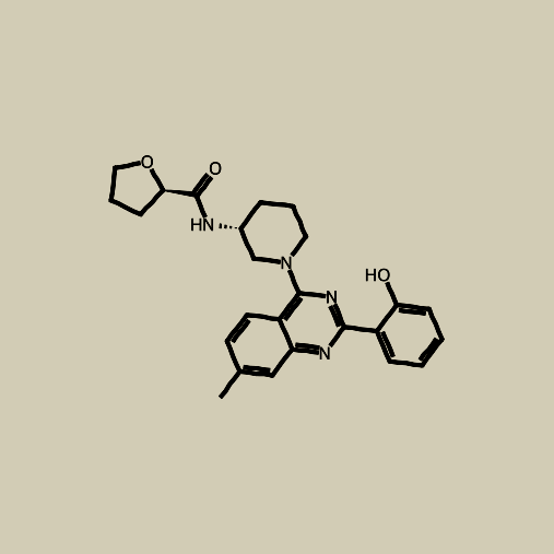 Cc1ccc2c(N3CCC[C@@H](NC(=O)[C@H]4CCCO4)C3)nc(-c3ccccc3O)nc2c1